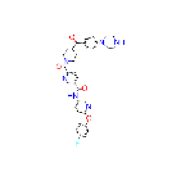 O=C(Nc1ccc(Oc2ccc(F)cc2)nc1)c1ccc(C(=O)N2CCC(C(=O)c3ccc(N4CCNCC4)cc3)CC2)nc1